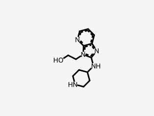 OCCn1c(NC2CCNCC2)nc2cccnc21